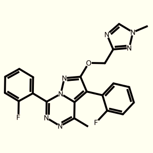 Cc1nnc(-c2ccccc2F)n2nc(OCc3ncn(C)n3)c(-c3ccccc3F)c12